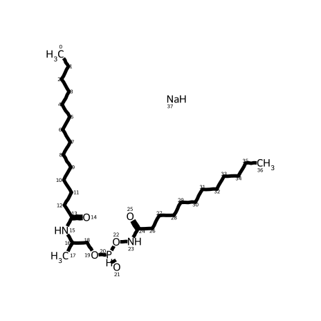 CCCCCCCCCCCCCC(=O)NC(C)CO[PH](=O)ONC(=O)CCCCCCCCCCC.[NaH]